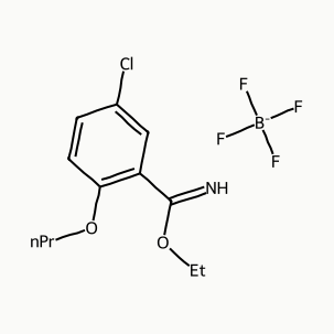 CCCOc1ccc(Cl)cc1C(=N)OCC.F[B-](F)(F)F